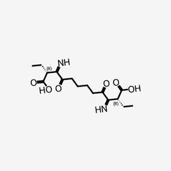 CC[C@H](C(=N)C(=O)CCCCC(=O)C(=N)[C@@H](CC)C(=O)O)C(=O)O